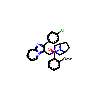 COc1ccccc1C(=O)N1C2CCC1CN(Cc1c(-c3ccc(Cl)cc3)nc3ccccn13)C2